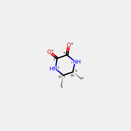 C[C@@H]1NC(=O)C(=O)N[C@@H]1C